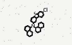 Clc1ccc2c(c1)sc1ccc(N(c3cccc4ccccc34)c3cccc4ccccc34)cc12